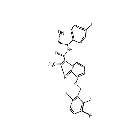 Cc1nc2c(OCc3c(F)ccc(F)c3F)cccn2c1C(=O)N[C@@H](CO)c1ccc(F)cc1